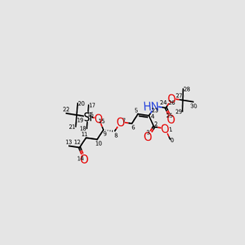 COC(=O)/C(=C\COC[C@H](CCC(C)=O)O[Si](C)(C)C(C)(C)C)NC(=O)OC(C)(C)C